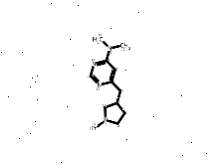 CC(C)N1CCC(Cc2cc(N(C)C)ncn2)C1